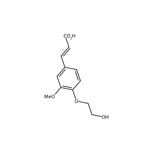 COc1cc(/C=C/C(=O)O)ccc1OCCO